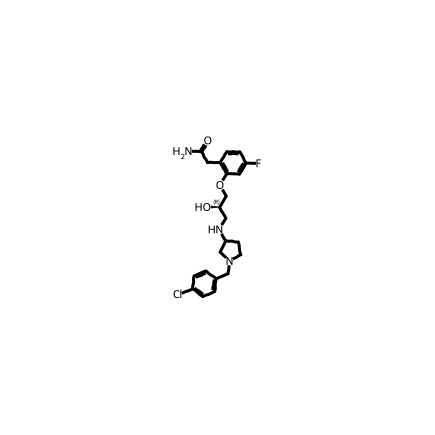 NC(=O)Cc1ccc(F)cc1OC[C@H](O)CNC1CCN(Cc2ccc(Cl)cc2)C1